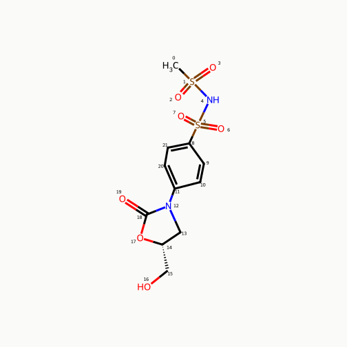 CS(=O)(=O)NS(=O)(=O)c1ccc(N2C[C@H](CO)OC2=O)cc1